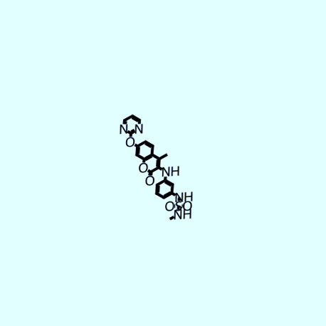 CNS(=O)(=O)Nc1cccc(Nc2c(C)c3ccc(Oc4ncccn4)cc3oc2=O)c1